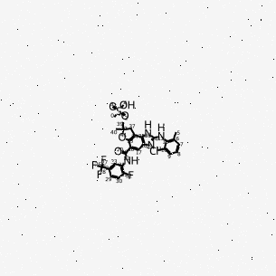 CS(=O)(=O)O.Cc1cccc(Cl)c1Nc1nc2cc(C(=O)Nc3cc(C(F)(F)F)ccc3F)c3c(c2[nH]1)CC(C)(C)O3